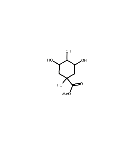 COC(=O)C1(O)CC(O)C(O)C(O)C1